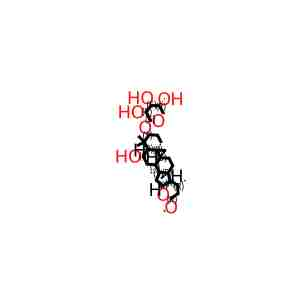 CO[C@H]1C[C@@H](C)[C@H]2[C@H](C[C@@]3(C)[C@@H]4C[C@H](O)[C@H]5C(C)(C)[C@@H](O[C@@H]6OC[C@@H](O)[C@H](O)[C@H]6O)CC[C@@]56C[C@@]46CC[C@]23C)O1